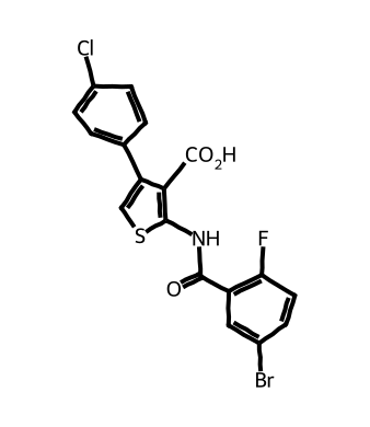 O=C(Nc1scc(-c2ccc(Cl)cc2)c1C(=O)O)c1cc(Br)ccc1F